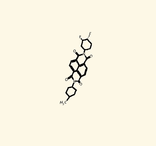 CC1CCC(N2C(=O)c3ccc4c5c(ccc(c35)C2=O)C(=O)N(C2CC[C@@H](F)[C@H](F)C2)C4=O)CC1